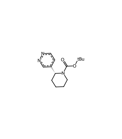 CC(C)(C)OC(=O)N1CCCC[C@@H]1c1ccnnc1